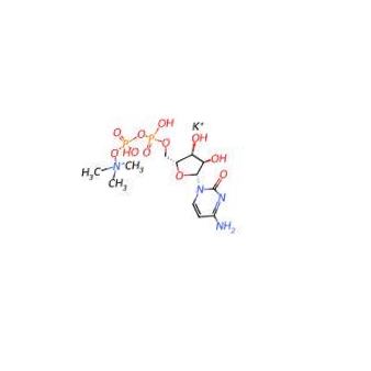 C[N+](C)(C)OP(=O)(O)OP(=O)(O)OC[C@H]1O[C@@H](n2ccc(N)nc2=O)[C@H](O)[C@@H]1O.[K+]